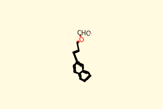 O=[C]OCCCc1ccc2ccccc2c1